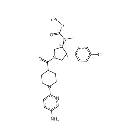 CCCOC(=O)N(C)[C@@H]1CN(C(=O)C2CCN(c3ccc(N)cn3)CC2)C[C@H]1c1ccc(Cl)cc1